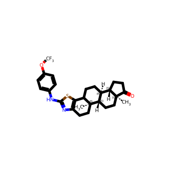 C[C@]12CCc3nc(Nc4ccc(OC(F)(F)F)cc4)sc3C1CC[C@@H]1[C@@H]2CC[C@]2(C)C(=O)CC[C@@H]12